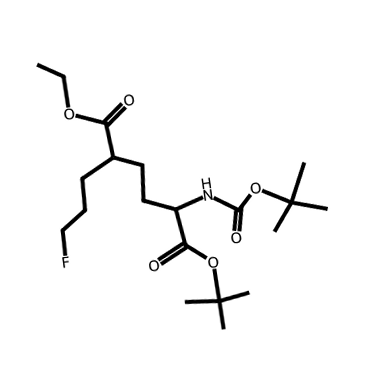 CCOC(=O)C(CCCF)CCC(NC(=O)OC(C)(C)C)C(=O)OC(C)(C)C